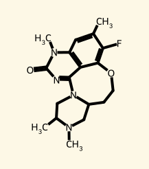 Cc1cc2c3c(nc(=O)n2C)N2CC(C)N(C)CC2CCOc3c1F